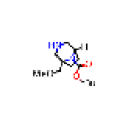 COC[C@@]12CC[C@@H](CNC1)N2C(=O)OC(C)(C)C